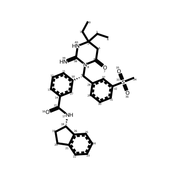 CCC1(CC)CC(=O)N([C@@H](c2cccc(C(=O)N[C@H]3CCc4ccccc43)c2)c2cccc(S(C)(=O)=O)c2)C(=N)N1